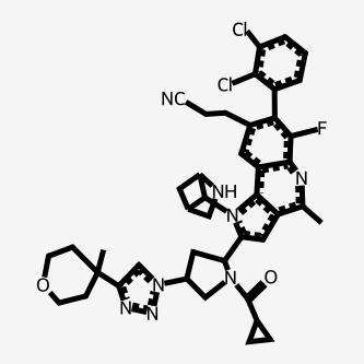 Cc1nc2c(F)c(-c3cccc(Cl)c3Cl)c(CCC#N)cc2c2c1cc(C1CC(n3cc(C4(C)CCOCC4)nn3)CN1C(=O)C1CC1)n2C1C2CNC1C2